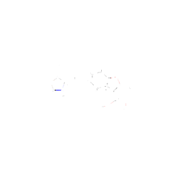 Cc1oc2ccc(OCc3ncsc3C)cc2c1C(=O)O